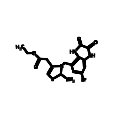 CCOC(=O)CC1=CSC(N)N1Cc1cc(Br)cc2[nH]c(=O)c(=O)[nH]c12